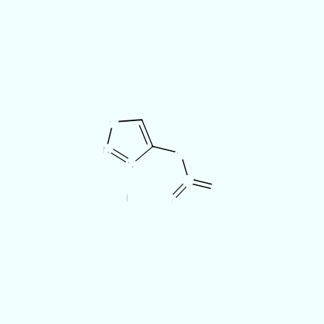 O=[S-](=O)Oc1conn1.[Li+]